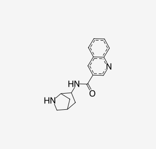 O=C(NC1CC2CNC1C2)c1cnc2ccccc2c1